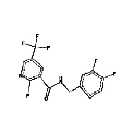 O=C(NCc1ccc(F)c(F)c1)c1cc(C(F)(F)F)cnc1F